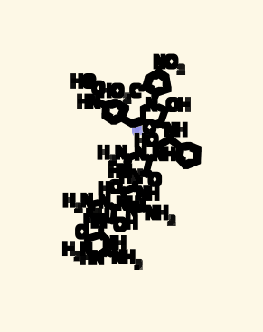 N=C(N)NC(NC(=O)C(NC(=N)N)NC(=O)C(NC(=N)N)NC(=O)C(NC(=N)N)NC(=O)C(NC(=O)C(O)N(C/C=C\c1ccc(NOO)cc1)c1ccc([N+](=O)[O-])cc1C(=O)O)c1ccccc1)C(N)=O